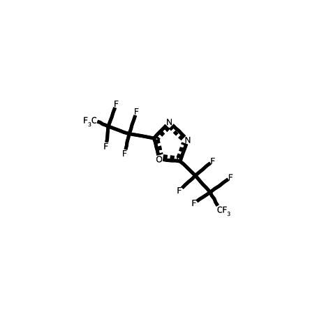 FC(F)(F)C(F)(F)C(F)(F)c1nnc(C(F)(F)C(F)(F)C(F)(F)F)o1